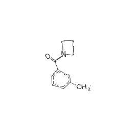 [CH2]c1cccc(C(=O)N2CCC2)c1